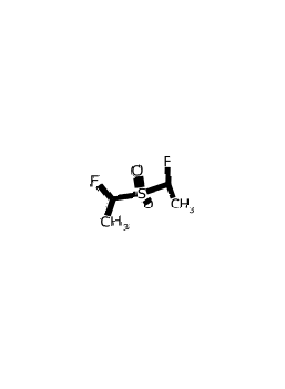 CC(F)S(=O)(=O)C(C)F